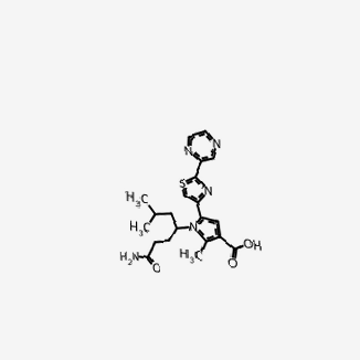 Cc1c(C(=O)O)cc(-c2csc(-c3cnccn3)n2)n1C(CCC(N)=O)CC(C)C